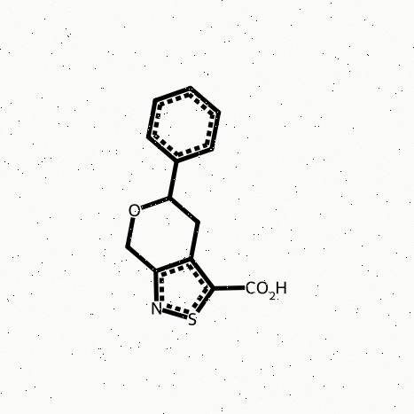 O=C(O)c1snc2c1CC(c1ccccc1)OC2